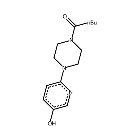 CCCCC(=O)N1CCN(c2ccc(O)cn2)CC1